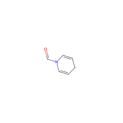 O=CN1C=C[CH]C=C1